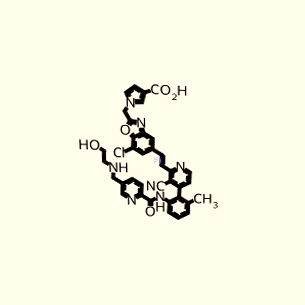 Cc1cccc(NC(=O)c2ccc(CNCCO)cn2)c1-c1ccnc(/C=C/c2cc(Cl)c3oc(Cn4ccc(C(=O)O)c4)nc3c2)c1C#N